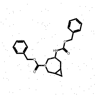 O=C(NC1CC2CC2CN(C(=O)OCc2ccccc2)C1)OCc1ccccc1